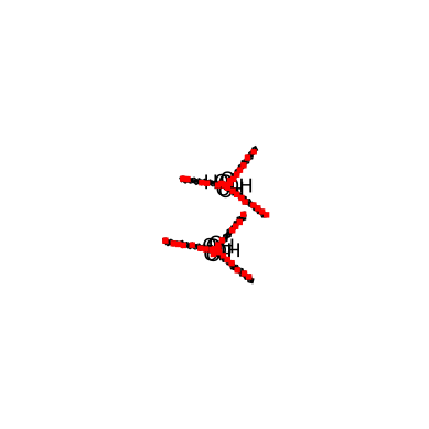 CCCCCCCCC=CCCCCCCCC(=O)C(O)(C(O)C(=O)CCCCCCCCCCCCCCC)C(O)C(=O)CCCCCCCCCCCCCCC.CCCCCCCCC=CCCCCCCCC(=O)C(O)(C(O)C(=O)CCCCCCCCCCCCCCC)C(O)C(=O)CCCCCCCCCCCCCCCCC